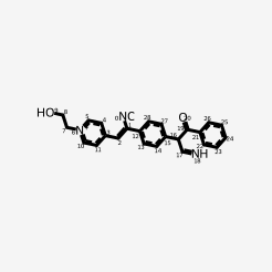 [C-]#[N+]/C(=C\c1cc[n+](CCO)cc1)c1ccc(C(C=N)C(=O)c2ccccc2)cc1